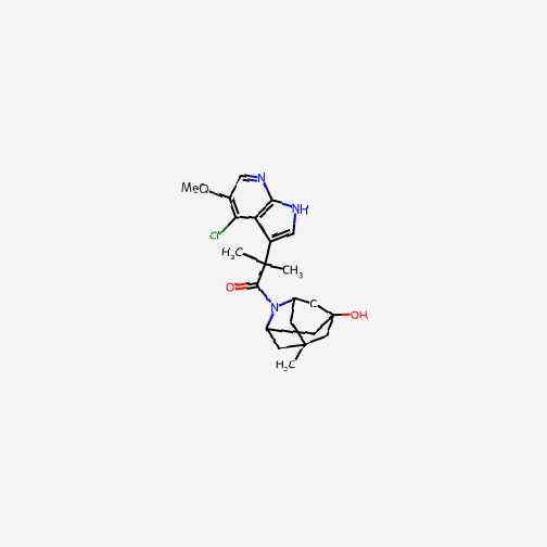 COc1cnc2[nH]cc(C(C)(C)C(=O)N3C4CC5(C)CC3CC(O)(C4)C5)c2c1Cl